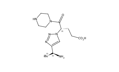 CC[C@H](C)[C@H](N)c1cn([C@@H](CCC(=O)O)C(=O)N2CCNCC2)nn1